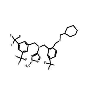 Cn1nnc(N(Cc2cc(C(F)(F)F)cc(C(F)(F)F)c2)Cc2cc(C(F)(F)F)ccc2COCC2CCCCC2)n1